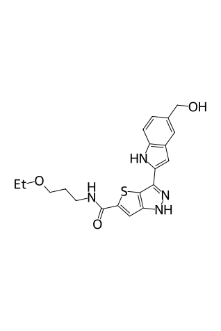 CCOCCCNC(=O)c1cc2[nH]nc(-c3cc4cc(CO)ccc4[nH]3)c2s1